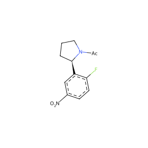 CC(=O)N1CCC[C@@H]1c1cc([N+](=O)[O-])ccc1F